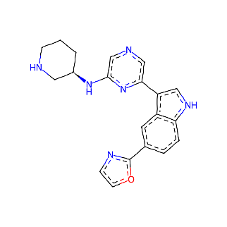 c1coc(-c2ccc3[nH]cc(-c4cncc(N[C@@H]5CCCNC5)n4)c3c2)n1